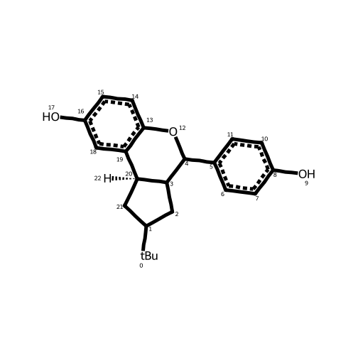 CC(C)(C)C1CC2C(c3ccc(O)cc3)Oc3ccc(O)cc3[C@@H]2C1